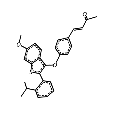 COc1ccc2c(Oc3ccc(C=CC(C)=O)cc3)c(-c3ccccc3C(C)C)sc2c1